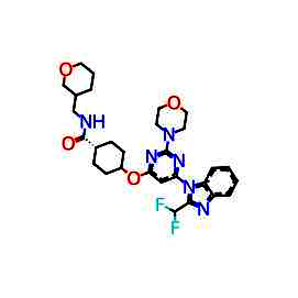 O=C(NCC1CCCOC1)[C@H]1CC[C@H](Oc2cc(-n3c(C(F)F)nc4ccccc43)nc(N3CCOCC3)n2)CC1